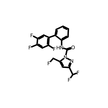 O=C(Nc1ccccc1-c1cc(F)c(F)cc1F)n1nc(C(F)F)[c]c1CF